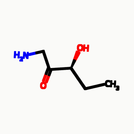 CC[C@H](O)C(=O)CN